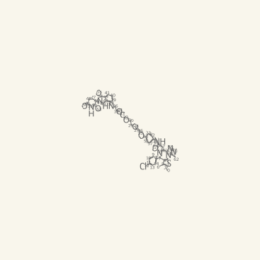 Cc1sc2c(c1C)C(c1ccc(Cl)cc1)=NC(CC(=O)Nc1ccc(OCCOCCOCCOCCNc3cccc4c3CN(C3CCC(=O)NC3=O)C4=O)cc1)c1nnc(C)n1-2